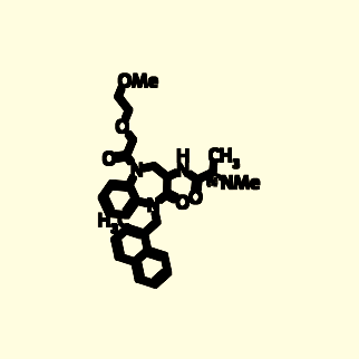 CN[C@@H](C)C(=O)NC1CN(C(=O)COCCOC)c2ccccc2N(Cc2c(C)ccc3ccccc23)C1=O